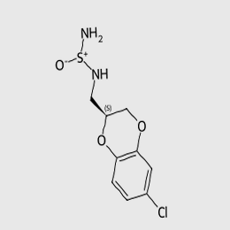 N[S+]([O-])NC[C@H]1COc2cc(Cl)ccc2O1